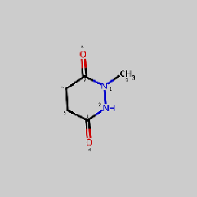 CN1NC(=O)CCC1=O